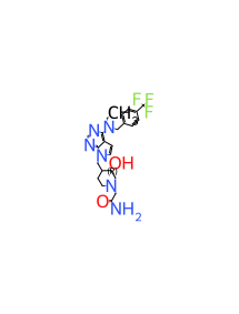 CCN(Cc1ccc(C(F)(F)F)cc1)c1ncnc2c1ccn2CC1CCN(CC(N)=O)C[C@@H]1O